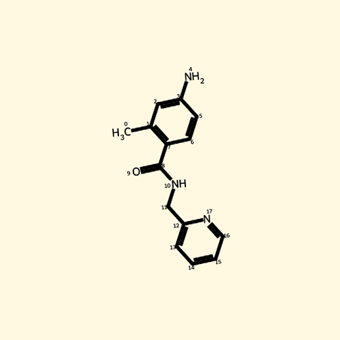 Cc1cc(N)ccc1C(=O)NCc1ccccn1